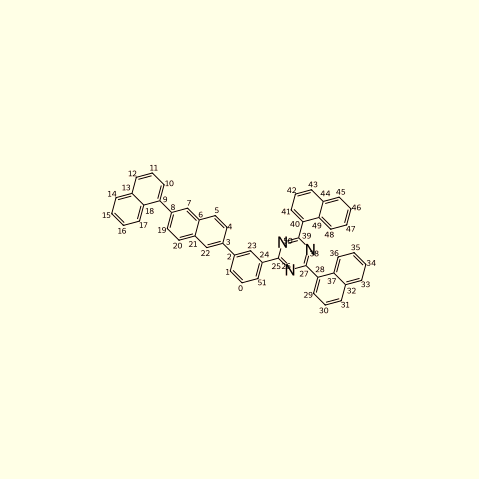 c1cc(-c2ccc3cc(-c4cccc5ccccc45)ccc3c2)cc(-c2nc(-c3cccc4ccccc34)nc(-c3cccc4ccccc34)n2)c1